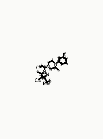 Cc1cccc(N2CCN(C(C=O)n3nc(C(F)(F)F)c(Cl)c3C)CC2C)c1